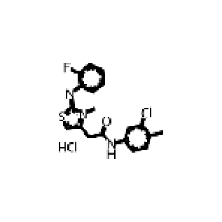 Cc1ccc(NC(=O)Cc2cs/c(=N/c3ccccc3F)n2C)cc1Cl.Cl